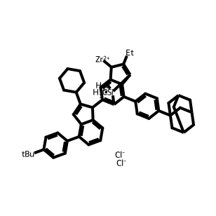 CCC1=C2c3c(cc(C4C(C5CCCCC5)=Cc5c(-c6ccc(C(C)(C)C)cc6)cccc54)c(c3-c3ccc(C45CC6CC(CC(C6)C4)C5)cc3)[Si]2(C)C)[CH]1[Zr+2].[Cl-].[Cl-]